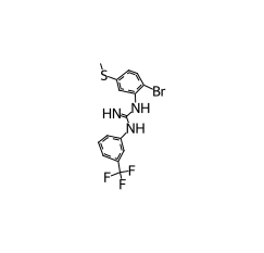 CSc1ccc(Br)c(NC(=N)Nc2cccc(C(F)(F)F)c2)c1